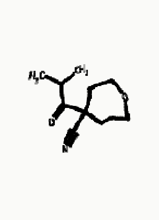 CC(C)C(=O)C1(C#N)CCOCC1